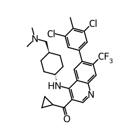 Cc1c(Cl)cc(-c2cc3c(N[C@H]4CC[C@H](CN(C)C)CC4)c(C(=O)C4CC4)cnc3cc2C(F)(F)F)cc1Cl